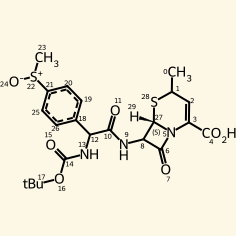 CC1C=C(C(=O)O)N2C(=O)C(NC(=O)C(NC(=O)OC(C)(C)C)c3ccc([S+](C)[O-])cc3)[C@@H]2S1